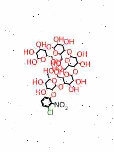 O=[N+]([O-])c1c(Cl)cccc1O[C@H]1[C@@H](O[C@H]2[C@H](O)[C@@H](O)[C@@H](O[C@H]3[C@H](O)[C@@H](O)[C@@H](O[C@H]4[C@H](O)[C@@H](O)[C@@H](O[C@H]5[C@H](O)[C@@H](O)[C@@H](O)O[C@@H]5CO)O[C@@H]4CO)O[C@@H]3CO)O[C@@H]2CO)O[C@H](CO)[C@@H](O)[C@@H]1O